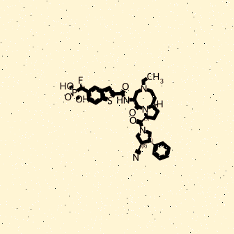 CCN1CC[C@H]2CC[C@@H](C(=O)N3C[C@H](c4ccccc4)[C@@H](C#N)C3)N2C(=O)C(NC(=O)c2cc3cc([C@H](F)P(=O)(O)O)ccc3s2)C1